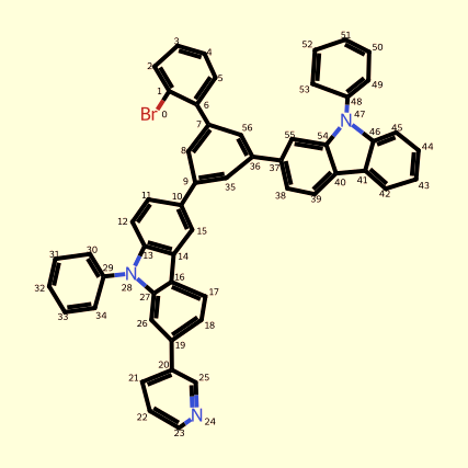 Brc1ccccc1-c1cc(-c2ccc3c(c2)c2ccc(-c4cccnc4)cc2n3-c2ccccc2)cc(-c2ccc3c4ccccc4n(-c4ccccc4)c3c2)c1